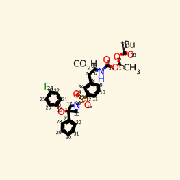 C[C@H](OC(=O)N[C@@H](Cc1cccc(S(=O)(=O)N2CC(Oc3ccc(F)cc3)(c3ccccc3)C2)c1)C(=O)O)OC(=O)C(C)(C)C